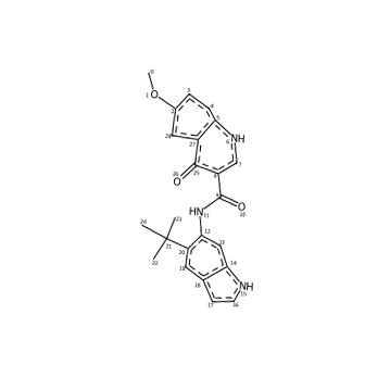 COc1ccc2[nH]cc(C(=O)Nc3cc4[nH]ccc4cc3C(C)(C)C)c(=O)c2c1